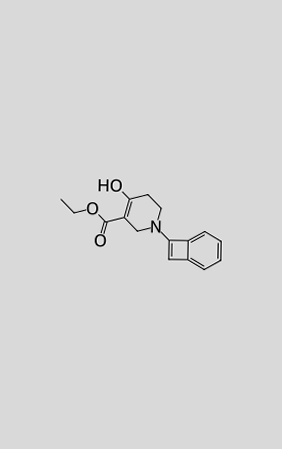 CCOC(=O)C1=C(O)CCN(C2=Cc3ccccc32)C1